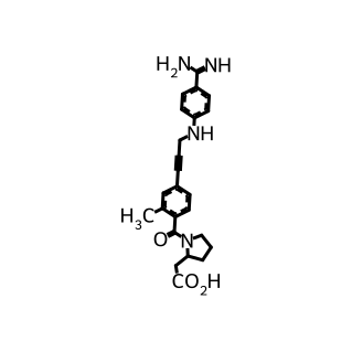 Cc1cc(C#CCNc2ccc(C(=N)N)cc2)ccc1C(=O)N1CCCC1CC(=O)O